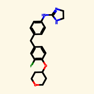 Fc1cc(Cc2ccc(NC3=NCCN3)cc2)ccc1OC1CCOCC1